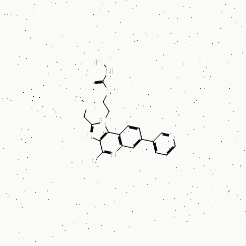 CCOCc1nc2c(N)nc3cc(-c4cccnc4)ccc3c2n1CCNC(=O)NC(C)C